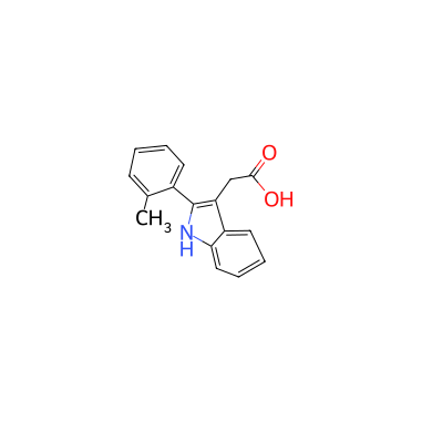 Cc1ccccc1-c1[nH]c2ccccc2c1CC(=O)O